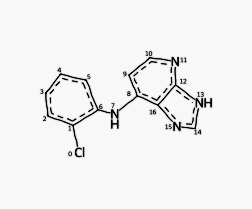 Clc1ccccc1Nc1ccnc2[nH]cnc12